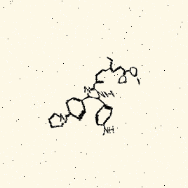 C=C(\C=C/C(/C=C/C(=O)OC)=C\C)C1=NC(C2=CCC(N3CCCC3)C=C2)C(c2ccc(NC)cc2)N1